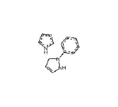 C1=CNN(c2ccccc2)C1.c1cc[nH]c1